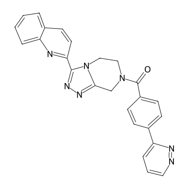 O=C(c1ccc(-c2cccnn2)cc1)N1CCn2c(nnc2-c2ccc3ccccc3n2)C1